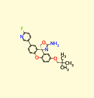 CC(C)(C)COc1ccc2c(c1)[C@@]1(COC(N)=N1)c1cc(-c3ccc(F)nc3)ccc1O2